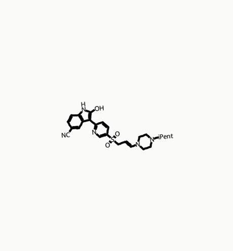 CCCC(C)N1CCN(C=CCS(=O)(=O)c2ccc(-c3c(O)[nH]c4ccc(C#N)cc34)nc2)CC1